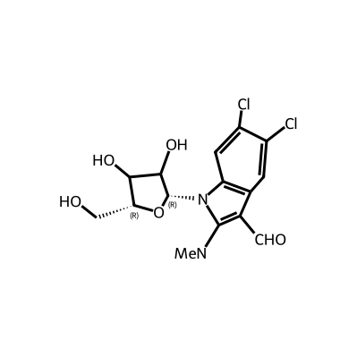 CNc1c(C=O)c2cc(Cl)c(Cl)cc2n1[C@@H]1O[C@H](CO)C(O)C1O